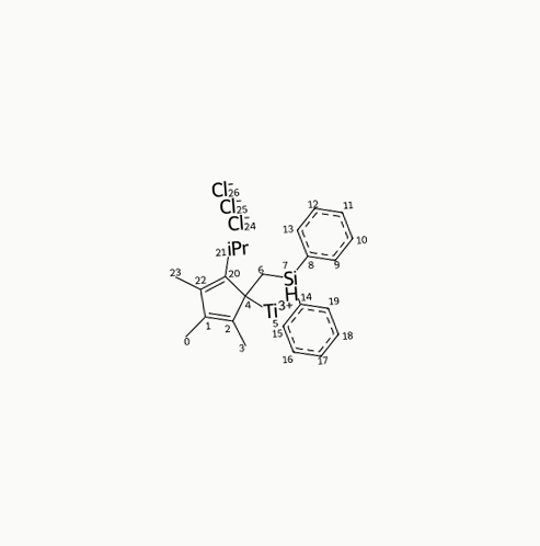 CC1=C(C)[C]([Ti+3])(C[SiH](c2ccccc2)c2ccccc2)C(C(C)C)=C1C.[Cl-].[Cl-].[Cl-]